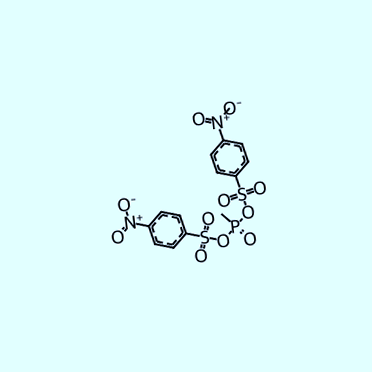 CP(=O)(OS(=O)(=O)c1ccc([N+](=O)[O-])cc1)OS(=O)(=O)c1ccc([N+](=O)[O-])cc1